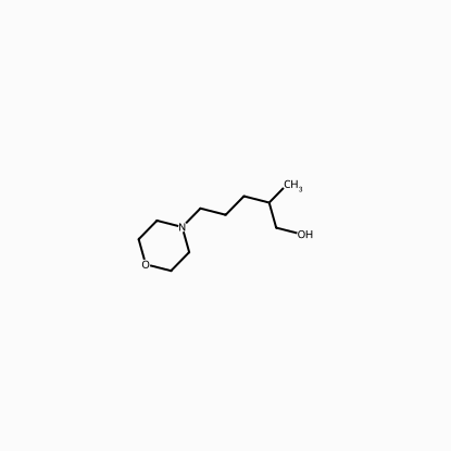 CC(CO)CCCN1CCOCC1